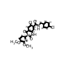 COc1ccc(-n2c(=O)[nH]c3cc(C(=O)NCc4ccc(Cl)cc4)c(Cl)cc3c2=O)nc1OC